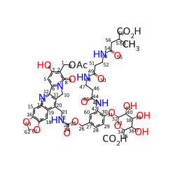 CC(=O)OCc1c(O)cc2n(c1=O)Cc1c-2nc2cc3c(cc2c1CNC(=O)OCc1ccc(OC2OC(C(=O)O)C(O)C(O)C2O)c(NC(=O)CCNC(=O)CCNC(=O)CC(C)C(=O)O)c1)OCO3